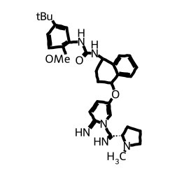 COc1ccc(C(C)(C)C)cc1NC(=O)NC1CCC(Oc2ccc(=N)n(C(=N)[C@@H]3CCCN3C)c2)c2ccccc21